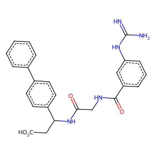 N=C(N)Nc1cccc(C(=O)NCC(=O)NC(CC(=O)O)c2ccc(-c3ccccc3)cc2)c1